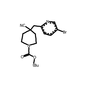 CC(C)(C)OC(=O)N1CCC(C#N)(Cc2ccc(Br)cn2)CC1